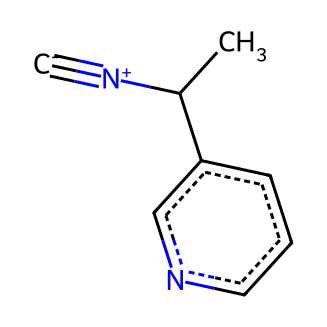 [C-]#[N+]C(C)c1cccnc1